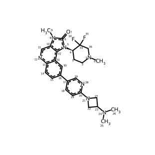 CN1CC[C@@H](n2c(=O)n(C)c3cnc4ccc(-c5ccc(N6CC(N(C)C)C6)nc5)cc4c32)C(F)(F)C1